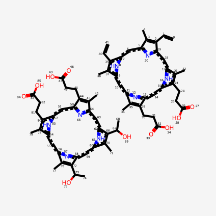 C=CC1=C(C)c2cc3[nH]c(cc4nc(cc5[nH]c(cc1n2)c(C)c5CCC(=O)O)C(CCC(=O)O)=C4C)c(C)c3C=C.CC1=C(CCC(=O)O)c2cc3[nH]c(cc4nc(cc5[nH]c(cc1n2)c(C(C)O)c5C)C(C(C)O)=C4C)c(C)c3CCC(=O)O